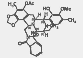 COc1c(C)cc2c(c1O)[C@H]1[C@@H]3Cc4c(OC(C)=O)c(C)c5c(c4[C@H](CN4C(=O)c6ccccc6C4=O)N3[C@@H](C#N)[C@@H](C2)N1C)OCO5